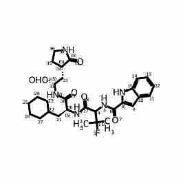 CC(C)(F)C(NC(=O)c1cc2ccccc2[nH]1)C(=O)N[C@@H](CC1CCCCC1)C(=O)N[C@H](C=O)C[C@@H]1CCNC1=O